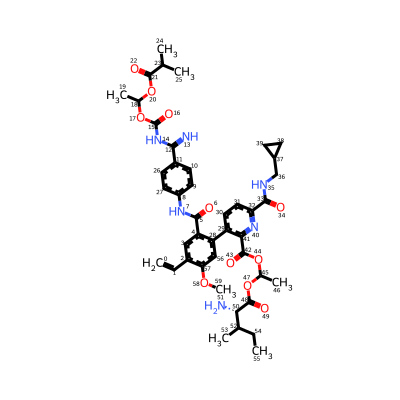 C=Cc1cc(C(=O)Nc2ccc(C(=N)NC(=O)OC(C)OC(=O)C(C)C)cc2)c(-c2ccc(C(=O)NCC3CC3)nc2C(=O)OC(C)OC(=O)[C@@H](N)C(C)CC)cc1OC